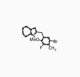 COc1c(Cc2cc3ccccc3s2)cc(Br)c(C)c1F